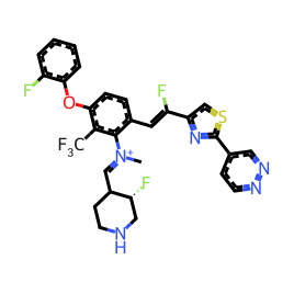 C/[N+](=C\C1CCNC[C@H]1F)c1c(/C=C(\F)c2csc(-c3ccnnc3)n2)ccc(Oc2ccccc2F)c1C(F)(F)F